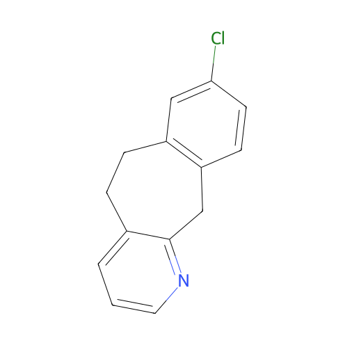 Clc1ccc2c(c1)CCc1cccnc1C2